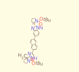 CC(C)(C)OC(=O)N1CCC[C@H]1c1nc2cc(-c3ccc4cc(-c5c[nH]c([C@@]6(C)CCCN6C(=O)OC(C)(C)C)n5)ccc4c3)ccc2[nH]1